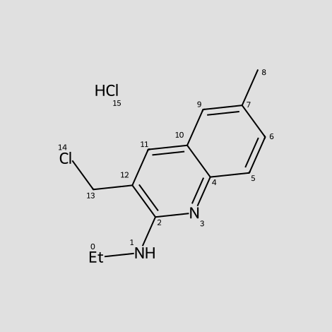 CCNc1nc2ccc(C)cc2cc1CCl.Cl